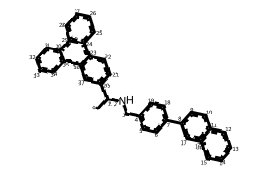 CC(NCc1ccc(-c2ccc3ccccc3c2)cc1)c1ccc2c3ccccc3c3ccccc3c2c1